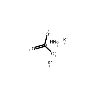 O=C([O-])[O-].[K+].[K+].[NaH]